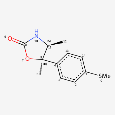 CSc1ccc([C@@]2(C)OC(=O)N[C@H]2C)cc1